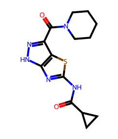 O=C(Nc1nc2[nH]nc(C(=O)N3CCCCC3)c2s1)C1CC1